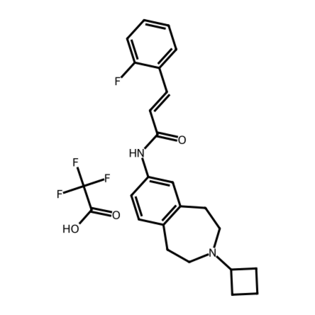 O=C(C=Cc1ccccc1F)Nc1ccc2c(c1)CCN(C1CCC1)CC2.O=C(O)C(F)(F)F